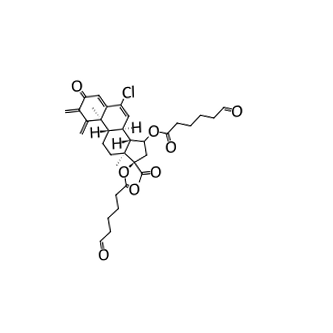 C=C1C(=C)[C@@]2(C)C(=CC1=O)C(Cl)=C[C@@H]1[C@@H]2CC[C@@]2(C)[C@H]1C(OC(=O)CCCCC=O)C[C@]2(OC(=O)CCCCC=O)C(C)=O